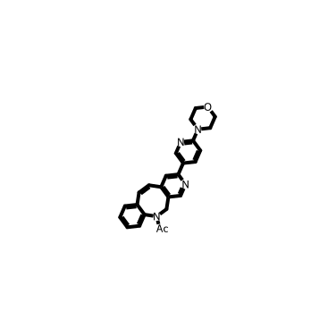 CC(=O)N1Cc2cnc(-c3ccc(N4CCOCC4)nc3)cc2/C=C\c2ccccc21